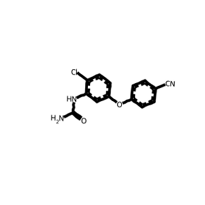 N#Cc1ccc(Oc2ccc(Cl)c(NC(N)=O)c2)cc1